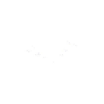 CCn1cc[n+](C)c1/C([O-])=N/c1cccc(S(=O)(=O)c2cccc(/N=C(\[O-])c3n(CC)cc[n+]3C)c2)c1